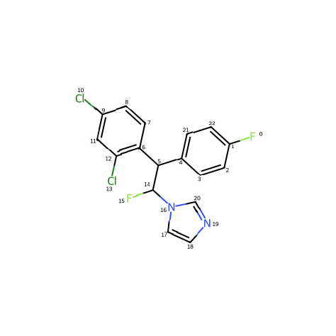 Fc1ccc(C(c2ccc(Cl)cc2Cl)C(F)n2ccnc2)cc1